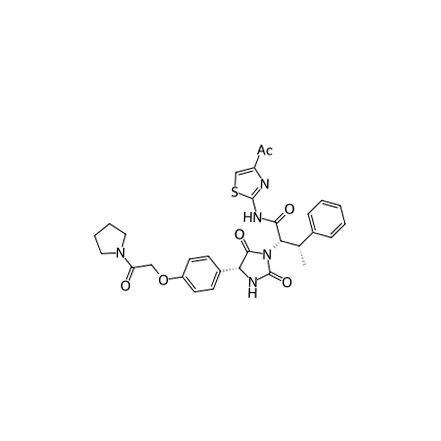 CC(=O)c1csc(NC(=O)[C@H]([C@@H](C)c2ccccc2)N2C(=O)N[C@H](c3ccc(OCC(=O)N4CCCC4)cc3)C2=O)n1